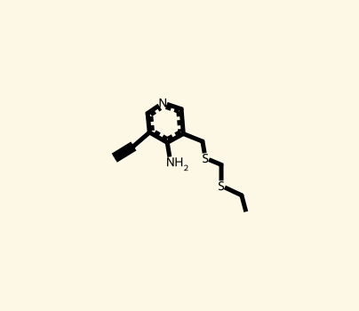 C#Cc1cncc(CSCSCC)c1N